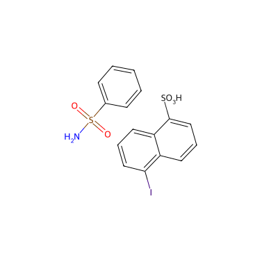 NS(=O)(=O)c1ccccc1.O=S(=O)(O)c1cccc2c(I)cccc12